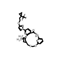 CC1(C)CC2CCCOc3cccc(n3)SNC(=O)c3ccc(-n4ccc(OCCC5(C(F)(F)F)CC5)n4)nc3N1C2